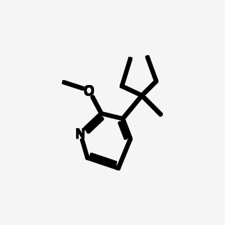 CCC(C)(CC)c1cccnc1OC